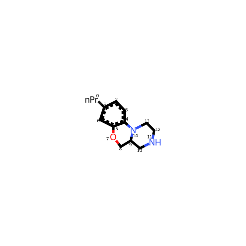 CCCc1ccc2c(c1)OCC1CNCCN21